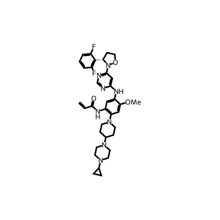 C=CC(=O)Nc1cc(Nc2cc(N3OCC[C@H]3c3c(F)cccc3F)ncn2)c(OC)cc1N1CCC(N2CCN(C3CC3)CC2)CC1